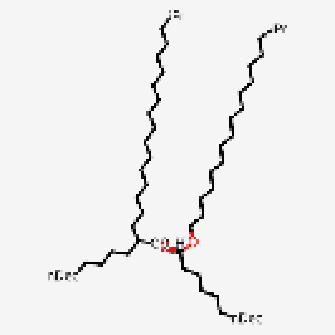 CCCCCCCCCCCCCCC(CCCCCCCCCCCCCCCC(C)C)C(=O)O.CCCCCCCCCCCCCCCC(=O)OCCCCCCCCCCCCCCCC(C)C